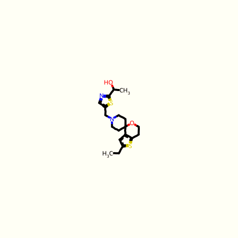 CCc1cc2c(s1)CCOC21CCN(Cc2cnc(C(C)O)s2)CC1